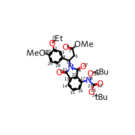 CCOc1cc(C(CC(=O)OC)N2C(=O)c3cccc(N(OC(C)(C)C)C(=O)OC(C)(C)C)c3C2=O)ccc1OC